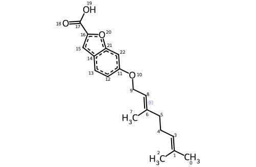 CC(C)=CCC/C(C)=C/COc1ccc2cc(C(=O)O)oc2c1